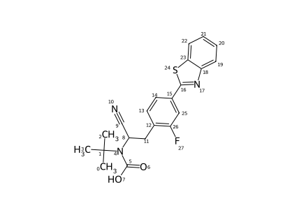 CC(C)(C)N(C(=O)O)C(C#N)Cc1ccc(-c2nc3ccccc3s2)cc1F